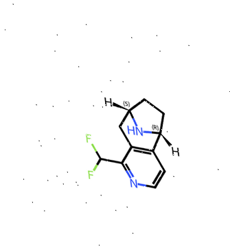 FC(F)c1nccc2c1C[C@@H]1CC[C@H]2N1